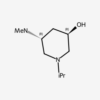 CN[C@@H]1C[C@@H](O)CN(C(C)C)C1